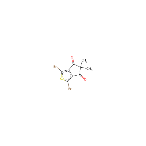 CC1(C)C(=O)c2c(Br)sc(Br)c2C1=O